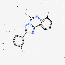 Fc1cccc(-c2nc3c4cccc(Br)c4nc(Cl)n3n2)c1